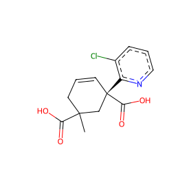 CC1(C(=O)O)CC=C[C@@](C(=O)O)(c2ncccc2Cl)C1